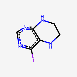 Ic1ncnc2c1NCCN2